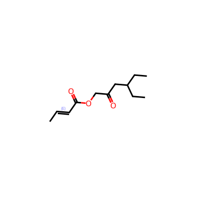 C/C=C/C(=O)OCC(=O)CC(CC)CC